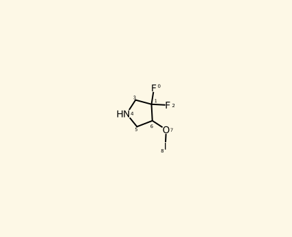 FC1(F)CNCC1OI